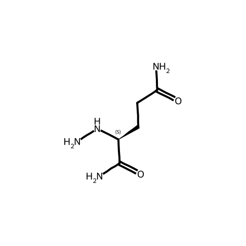 NN[C@@H](CCC(N)=O)C(N)=O